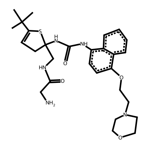 CC(C)(C)C1=CCC(CNC(=O)CN)(NC(=O)Nc2ccc(OCCN3CCOCC3)c3ccccc23)S1